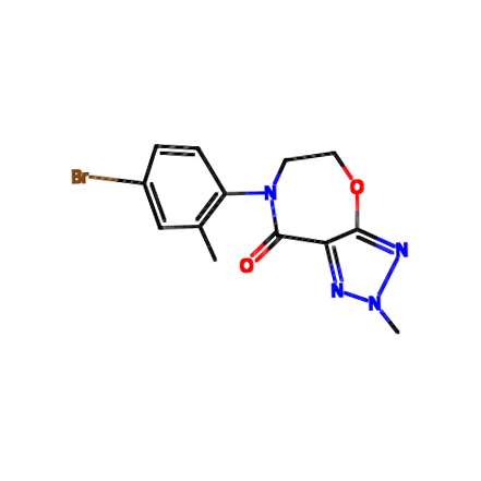 Cc1cc(Br)ccc1N1CCOc2nn(C)nc2C1=O